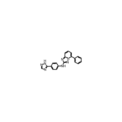 c1ccc(-c2cccc3nc(Nc4ccc(-c5ncn[nH]5)cc4)nn23)cc1